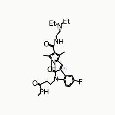 CCN(CC)CCNC(=O)c1c(C)[nH]c(/C=C2\C(=O)N(CCC(=O)PC)c3ccc(F)cc32)c1C